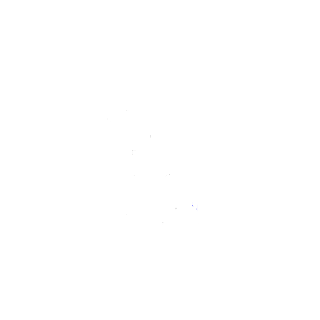 CCc1ccc(-c2cccc([N+](=O)[O-])c2)o1